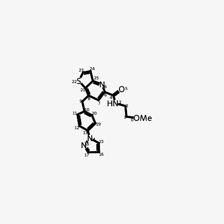 COCCNC(=O)c1cc(Cc2ccc(-n3cccn3)cc2)c2sccc2n1